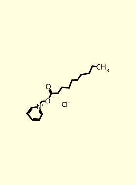 CCCCCCCCCC(=O)OC[n+]1ccccc1.[Cl-]